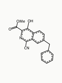 COC(=O)c1nc(C#N)c2cc(Cc3ccccc3)ccc2c1O